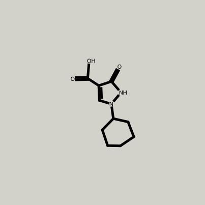 O=C(O)c1cn(C2CCCCC2)[nH]c1=O